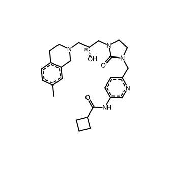 Cc1ccc2c(c1)CN(C[C@@H](O)CN1CCN(Cc3ccc(NC(=O)C4CCC4)cn3)C1=O)CC2